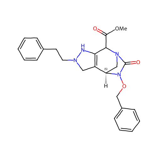 COC(=O)C1C2=C(CN(CCc3ccccc3)N2)[C@H]2CN1C(=O)N2OCc1ccccc1